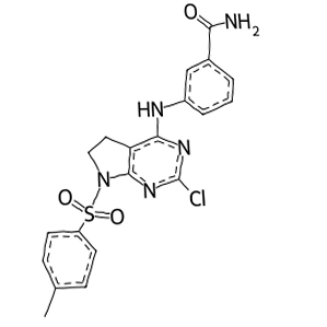 Cc1ccc(S(=O)(=O)N2CCc3c(Nc4cccc(C(N)=O)c4)nc(Cl)nc32)cc1